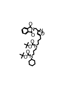 CC(C)(C)OC(=O)N(CCCc1cc(CN2C(=O)c3ccccc3C2=O)no1)CCCN(C(=O)OC(C)(C)C)C1CCCCC1